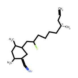 C=CC[C@H](C)CCCCC(F)CC1CC(=C=N)C(C)CC1C